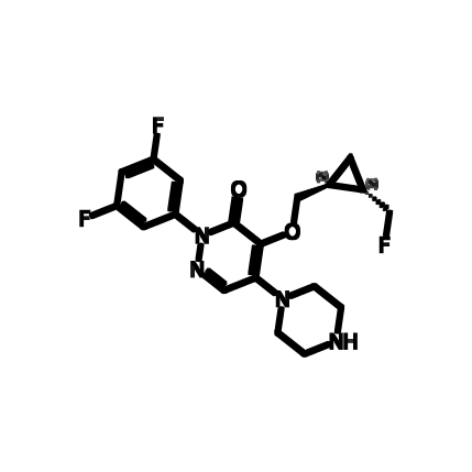 O=c1c(OC[C@H]2C[C@@H]2CF)c(N2CCNCC2)cnn1-c1cc(F)cc(F)c1